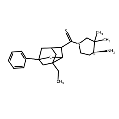 CCC12CC3CC(c4ccccc4)(CC1C3C(=S)N1CC[C@H](N)C(C)(C)C1)C2